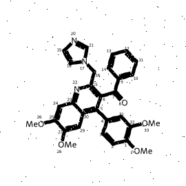 COc1ccc(-c2c(C(=O)c3ccccc3)c(Cn3ccnc3)nc3cc(OC)c(OC)cc23)cc1OC